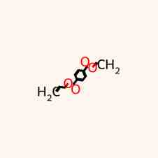 C=CCOC(=O)c1ccc(C(=O)OC=C)cc1